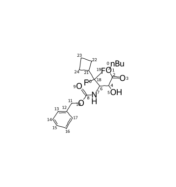 CCCCOC(=O)C(O)C(NC(=O)OCc1ccccc1)C(F)(F)C1CCC1